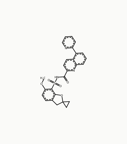 COc1ccc2c(c1S(=O)(=O)NC(=O)c1ccc3c(-c4ccccn4)cccc3n1)OC1(CC1)C2